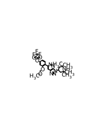 COCOc1cc(OS(=O)(=O)C(F)(F)F)ccc1-c1cc2nnn(C3CC(C)(C)NC(C)(C)C3)c2nn1